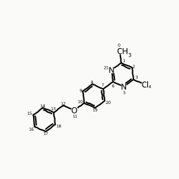 Cc1cc(Cl)nc(-c2ccc(OCc3ccccc3)cc2)n1